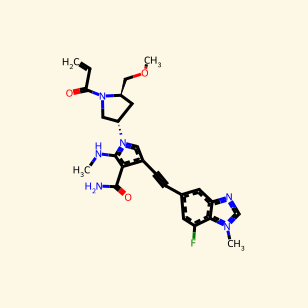 C=CC(=O)N1C[C@@H](n2cc(C#Cc3cc(F)c4c(c3)ncn4C)c(C(N)=O)c2NC)C[C@@H]1COC